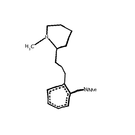 CNc1ccccc1CCC1CCCCN1C